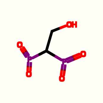 O=P(=O)C(CO)P(=O)=O